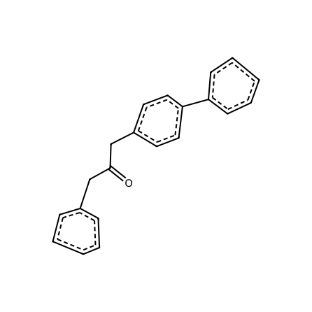 O=C(Cc1ccccc1)Cc1ccc(-c2ccccc2)cc1